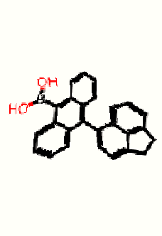 OB(O)c1c2ccccc2c(-c2ccc3c4c(cccc24)CC3)c2ccccc12